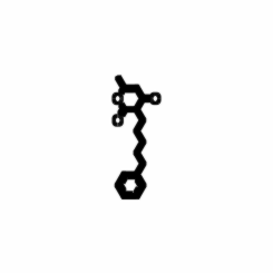 CC1=CC(=O)C(CCCCCc2ccccc2)C(=O)O1